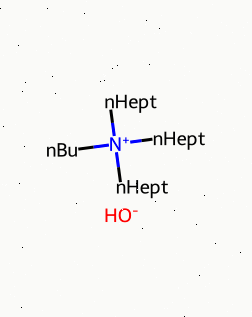 CCCCCCC[N+](CCCC)(CCCCCCC)CCCCCCC.[OH-]